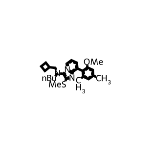 CCCCN(CC1CCC1)c1c(SC)nc2c(-c3c(C)cc(C)cc3OC)cccn12